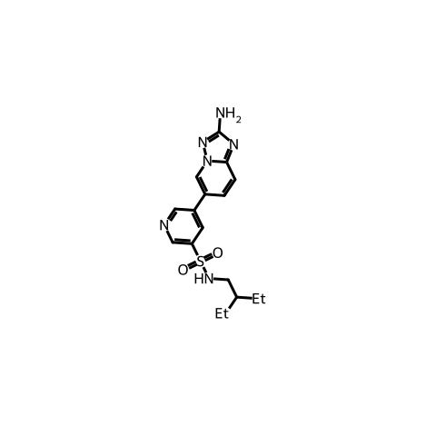 CCC(CC)CNS(=O)(=O)c1cncc(-c2ccc3nc(N)nn3c2)c1